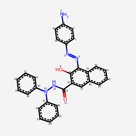 Nc1ccc(N=Nc2c(O)c(C(=O)NN(c3ccccc3)c3ccccc3)cc3ccccc23)cc1